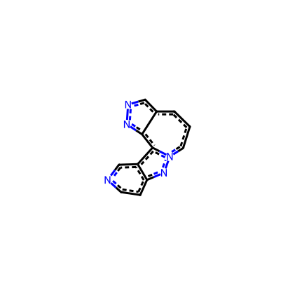 c1cc2cnnc-2c2c3cnccc3nn2c1